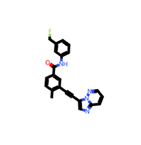 Cc1ccc(C(=O)Nc2cccc(CF)c2)cc1C#Cc1cnc2cccnn12